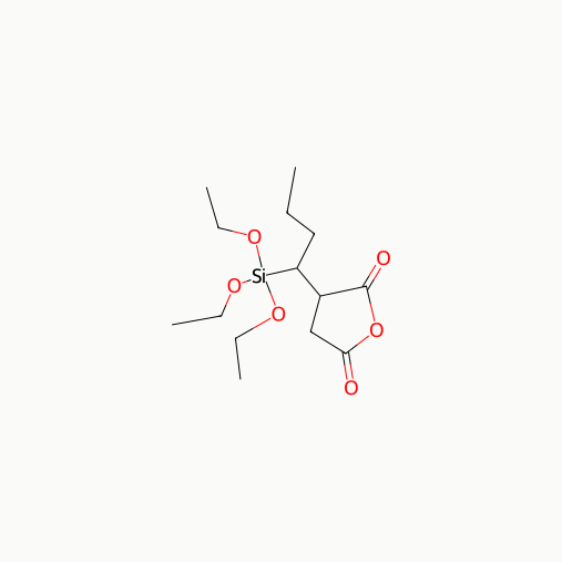 CCCC(C1CC(=O)OC1=O)[Si](OCC)(OCC)OCC